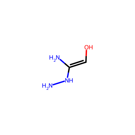 NN/C(N)=C/O